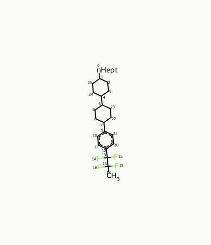 CCCCCCCC1CCC(C2CCC(c3ccc(C(F)(F)C(C)(F)F)cc3)CC2)CC1